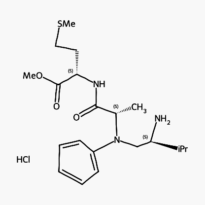 COC(=O)[C@H](CCSC)NC(=O)[C@H](C)N(C[C@@H](N)C(C)C)c1ccccc1.Cl